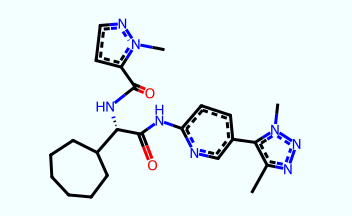 Cc1nnn(C)c1-c1ccc(NC(=O)[C@@H](NC(=O)c2ccnn2C)C2CCCCCC2)nc1